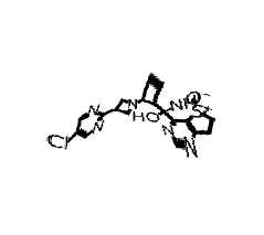 N[C@](O)(c1ncnc2c1[S+]([O-])CC2)C1CCC1N1CC(c2ncc(Cl)cn2)C1